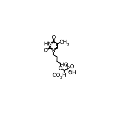 Cc1cn(CCCCOC(C(=O)O)P(=O)(O)O)c(=O)[nH]c1=O